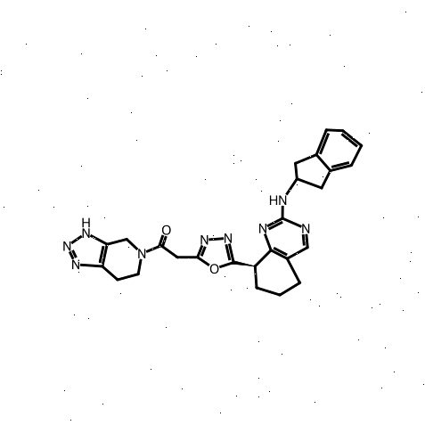 O=C(Cc1nnc([C@@H]2CCCc3cnc(NC4Cc5ccccc5C4)nc32)o1)N1CCc2nn[nH]c2C1